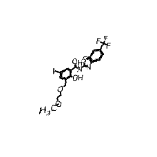 COCCOCc1cc(I)cc(C(=O)Nc2nc3ccc(C(F)(F)F)cc3s2)c1O